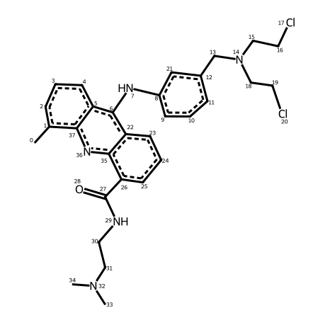 Cc1cccc2c(Nc3cccc(CN(CCCl)CCCl)c3)c3cccc(C(=O)NCCN(C)C)c3nc12